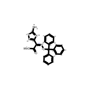 COC(=O)/C(=N\OC(c1ccccc1)(c1ccccc1)c1ccccc1)c1nsc(N)n1